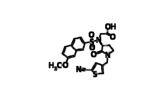 COc1ccc2ccc(S(=O)(=O)N(CC(=O)O)[C@H]3CCN(Cc4csc(C#N)c4)C3=O)cc2c1